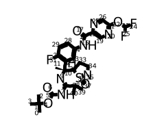 CC(C)(C)OC(=O)NC1=N[C@](C)(c2cc(NC(=O)c3cnc(OC(F)F)cn3)ccc2F)[C@@H]2CCN=[S@]2(=O)C1(C)C